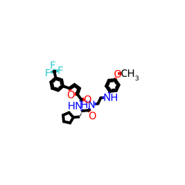 COc1ccc(NCCNC(=O)[C@H](CC2CCCC2)NC(=O)c2ccc(-c3cccc(C(F)(F)F)c3)o2)cc1